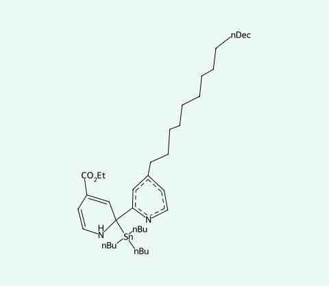 CCCCCCCCCCCCCCCCCCCc1ccnc([C]2([Sn]([CH2]CCC)([CH2]CCC)[CH2]CCC)C=C(C(=O)OCC)C=CN2)c1